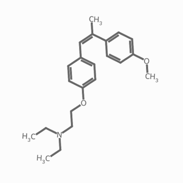 CCN(CC)CCOc1ccc(C=C(C)c2ccc(OC)cc2)cc1